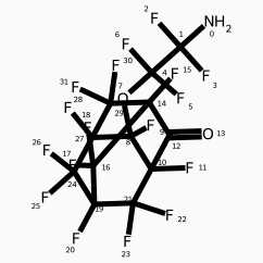 NC(F)(F)C(F)(F)OC1(F)C2(F)C(=O)C3(F)C(F)(F)C(F)(C2(F)F)C(F)(F)C1(F)C3(F)F